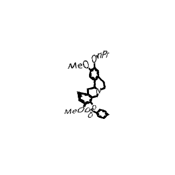 CCCOc1cc2c(cc1OC)C1Cc3ccc(OC)c(OS(=O)(=O)c4ccccc4)c3CN1CC2